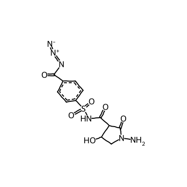 [N-]=[N+]=NC(=O)c1ccc(S(=O)(=O)NC(=O)C2C(=O)N(N)CC2O)cc1